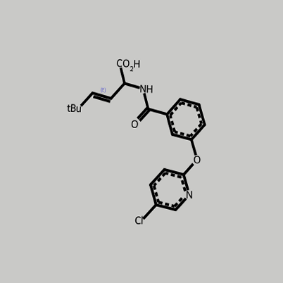 CC(C)(C)/C=C/C(NC(=O)c1cccc(Oc2ccc(Cl)cn2)c1)C(=O)O